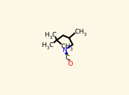 CC(CN=C=O)CC(C)(C)C